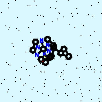 N#Cc1c(-n2c3ccccc3c3ccccc32)c(C#N)c(-n2c3ccccc3c3ccccc32)c(-n2c3cccc(-c4ccc5c6c(cccc46)-c4ccccc4-5)c3c3ccc4c5ccccc5sc4c32)c1-n1c2ccccc2c2ccccc21